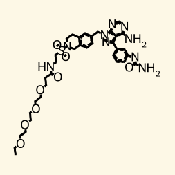 CCOCCOCCOCCOCCC(=O)NCCS(=O)(=O)N1CCc2cc(Cn3nc(-c4ccc5oc(N)nc5c4)c4c(N)ncnc43)ccc2C1